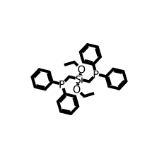 CCO[Si](CP(c1ccccc1)c1ccccc1)(CP(c1ccccc1)c1ccccc1)OCC